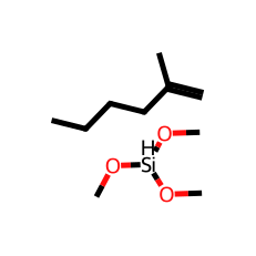 C=C(C)CCCC.CO[SiH](OC)OC